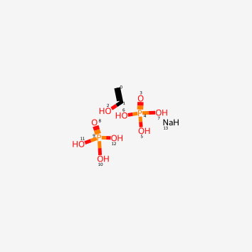 C=CO.O=P(O)(O)O.O=P(O)(O)O.[NaH]